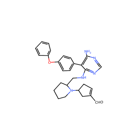 Nc1ncnc(NCC2CCCCN2C2CC=C(C=O)C2)c1-c1ccc(Oc2ccccc2)cc1